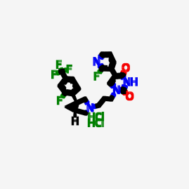 Cl.Cl.O=c1[nH]c(=O)n(CCCN2C[C@@H]3C[C@]3(c3ccc(C(F)(F)F)cc3F)C2)cc1-c1cccnc1F